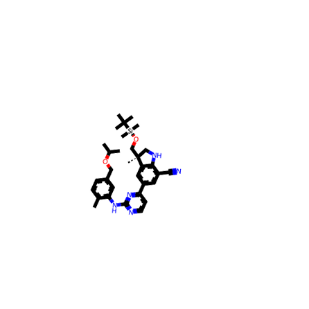 Cc1ccc(COC(C)C)cc1Nc1nccc(-c2cc(C#N)c3c(c2)[C@@](C)(CO[Si](C)(C)C(C)(C)C)CN3)n1